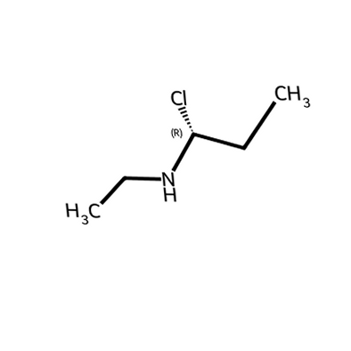 CCN[C@H](Cl)CC